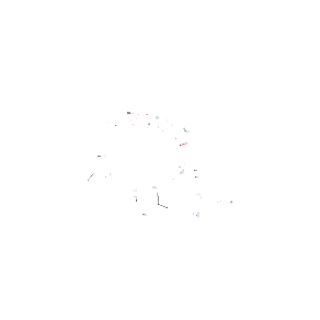 C=C1C[C@@H]2CC[C@@]34C[C@H]5OC6[C@@H](O[C@H]7CC[C@H](CC(=O)C[C@@H]8[C@@H](C)[C@@H](C[C@@H](CN)OC)O[C@H]8C[C@H]8O[C@@H](CC[C@@H]1O2)C[C@@H](C)C8=C)O[C@@H]7[C@@H]6O3)[C@H]5O4